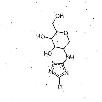 OCC1OCC(Nc2nc(Cl)ns2)C(O)C1O